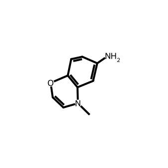 CN1C=COc2ccc(N)cc21